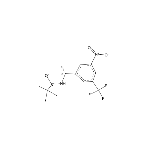 C[C@@H](N[S+]([O-])C(C)(C)C)c1cc([N+](=O)[O-])cc(C(F)(F)F)c1